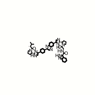 CC(C)[CH]C(=O)N1CCC[C@H]1c1nc(-c2ccc(-c3cnc4cc(-c5cnc([C@@H]6CCCN6C(=O)CNC(=O)c6[nH]nc7ccccc67)[nH]5)ccc4n3)cc2)c[nH]1